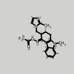 Cc1nccn1CC1CCc2c(c3ccccc3n2C)C1=NOC(=O)C(F)(F)F